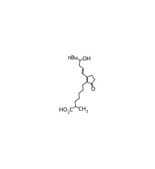 CCCCC(O)CC=CC1=C(CCCCCC(C)C(=O)O)C(=O)CC1